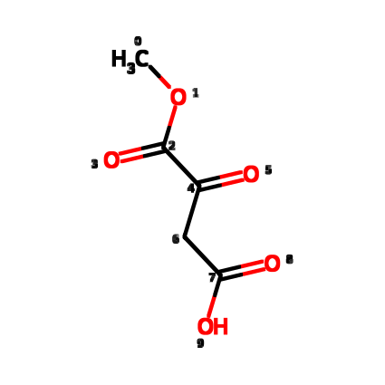 COC(=O)C(=O)CC(=O)O